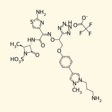 C[C@H]1[C@H](NC(=O)C(=NOC(COc2ccc(-c3cn(CCCN)[n+](C)c3)cc2)c2nn[nH]n2)c2csc(N)n2)C(=O)N1S(=O)(=O)O.O=C([O-])C(F)(F)F